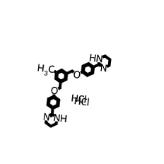 Cc1cc(COc2ccc(C3=NCCCN3)cc2)cc(COc2ccc(C3=NCCCN3)cc2)c1.Cl.Cl